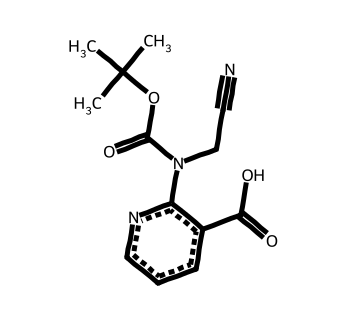 CC(C)(C)OC(=O)N(CC#N)c1ncccc1C(=O)O